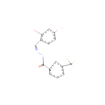 O=C(N/N=C\c1ccc(O)cc1O)c1cccc(C(F)(F)F)c1